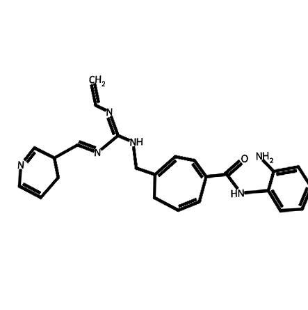 C=C/N=C(\N=C\C1C=NC=CC1)NCC1=CC=C(C(=O)Nc2ccccc2N)C=CC1